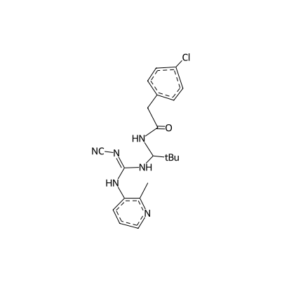 Cc1ncccc1N/C(=N\C#N)NC(NC(=O)Cc1ccc(Cl)cc1)C(C)(C)C